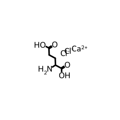 NC(CCC(=O)O)C(=O)O.[Ca+2].[Cl-].[Cl-]